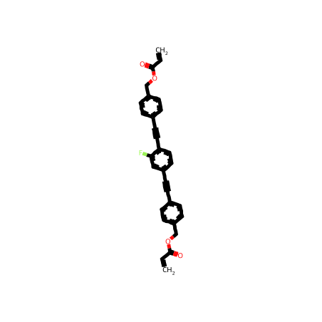 C=CC(=O)OCc1ccc(C#Cc2ccc(C#Cc3ccc(COC(=O)C=C)cc3)c(F)c2)cc1